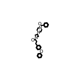 O=C(CCc1ccc(Oc2ccccc2)cc1)N1CC(N2CCN(C(=O)c3ccccc3)CC2)C1